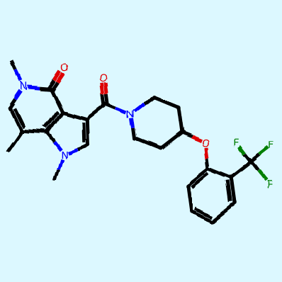 Cc1cn(C)c(=O)c2c(C(=O)N3CCC(Oc4ccccc4C(F)(F)F)CC3)cn(C)c12